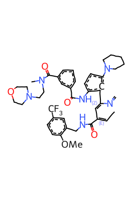 C=N/C(=C\C(=C/C)C(=O)NCc1cc(C(F)(F)F)ccc1OC)c1cc(N2CCCCC2)ccc1NC(=O)c1cccc(C(=O)N(C)CCN2CCOCC2)c1